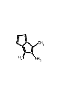 CC1=C(N)C(N)=C2C=CC=C12